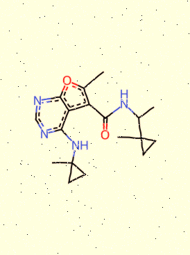 Cc1oc2ncnc(NC3(C)CC3)c2c1C(=O)NC(C)C1(C)CC1